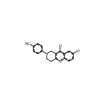 N#Cc1ccc(N2CCc3nc4ccc(Cl)cc4c(Cl)c3C2)cc1